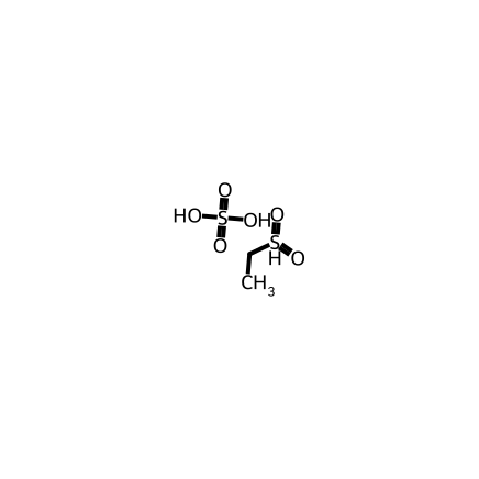 CC[SH](=O)=O.O=S(=O)(O)O